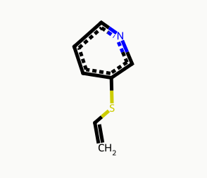 C=CSc1cccnc1